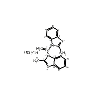 Cl.Cl.[CH2]=[Pd]([n]1c(C)nc2ccccc21)[n]1c(C)nc2ccccc21